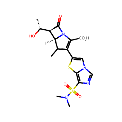 CC1C(c2cn3cnc(S(=O)(=O)N(C)C)c3s2)=C(C(=O)O)N2C(=O)[C@H]([C@@H](C)O)[C@H]12